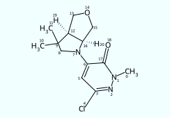 Cn1nc(Cl)cc(N2CC(C)(C)[C@H]3COC[C@H]32)c1=O